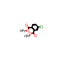 CCCOC(=O)c1ccc(Cl)cc1C(=O)OCCC